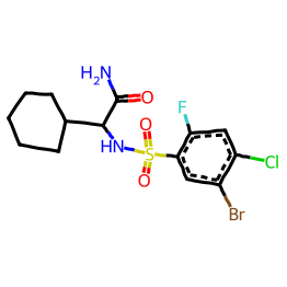 NC(=O)C(NS(=O)(=O)c1cc(Br)c(Cl)cc1F)C1CCCCC1